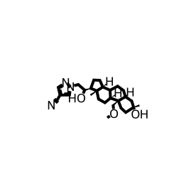 COC[C@]12CC[C@@](C)(O)C[C@@H]1CCC1[C@@H]3CC[C@H](C(O)Cn4cc(C#N)cn4)[C@@]3(C)CC[C@@H]12